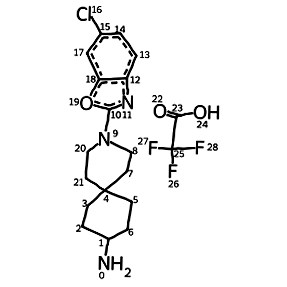 NC1CCC2(CC1)CCN(c1nc3ccc(Cl)cc3o1)CC2.O=C(O)C(F)(F)F